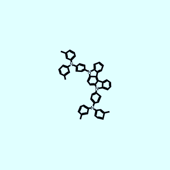 Cc1cccc(N(c2ccc(-n3c4ccccc4c4c5c6ccccc6n(-c6ccc(N(c7cccc(C)c7)c7cccc(C)c7)cc6)c5ccc43)cc2)c2cccc(C)c2)c1